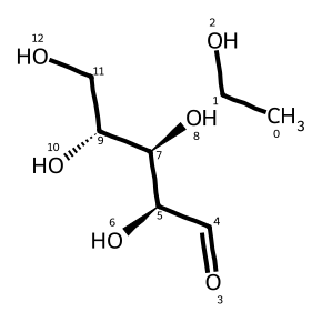 CCO.O=C[C@@H](O)[C@H](O)[C@H](O)CO